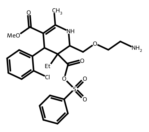 CCC1(C(=O)OS(=O)(=O)c2ccccc2)C(COCCN)NC(C)=C(C(=O)OC)C1c1ccccc1Cl